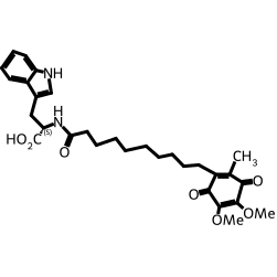 COC1=C(OC)C(=O)C(CCCCCCCCCC(=O)N[C@@H](Cc2c[nH]c3ccccc23)C(=O)O)=C(C)C1=O